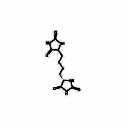 O=C1NC(=O)[C@H](CSSC[C@@H]2NC(=O)NC2=O)N1